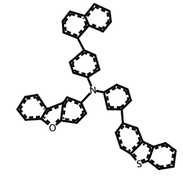 c1cc(-c2ccc3sc4ccccc4c3c2)cc(N(c2ccc(-c3cccc4ccccc34)cc2)c2ccc3oc4ccccc4c3c2)c1